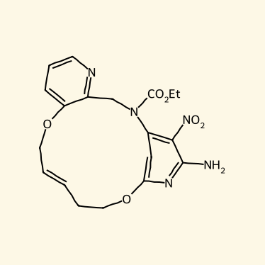 CCOC(=O)N1Cc2ncccc2OC/C=C/CCOc2cc1c([N+](=O)[O-])c(N)n2